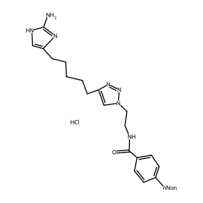 CCCCCCCCCc1ccc(C(=O)NCCn2cc(CCCCCc3c[nH]c(N)n3)nn2)cc1.Cl